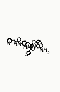 NC(=O)CC(NC(=O)[C@H](Cc1ccc(NC(=O)CCc2cccnc2)cc1)NC(=O)c1ccsc1)c1ccco1